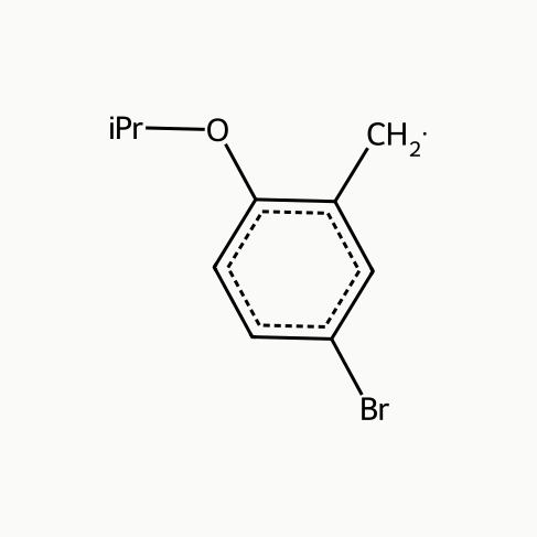 [CH2]c1cc(Br)ccc1OC(C)C